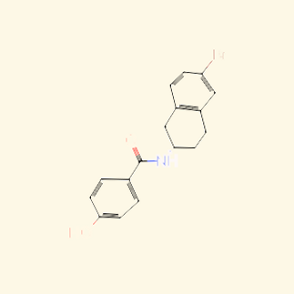 O=C(N[C@H]1CCc2cc(Br)ccc2C1)c1ccc(O)cc1